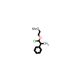 COCCOC(Cl)C(C)c1ccccc1